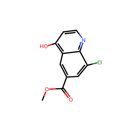 COC(=O)c1cc(Cl)c2nccc(O)c2c1